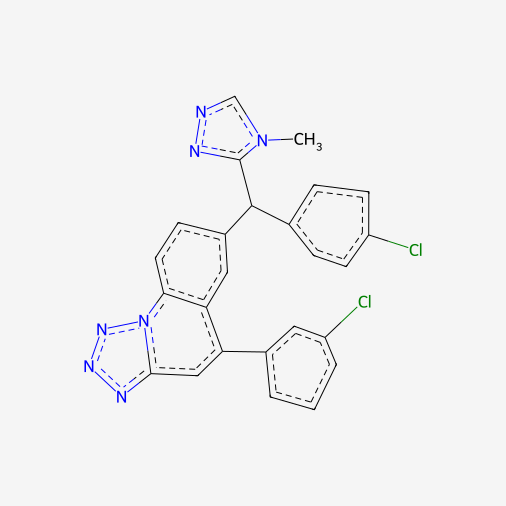 Cn1cnnc1C(c1ccc(Cl)cc1)c1ccc2c(c1)c(-c1cccc(Cl)c1)cc1nnnn12